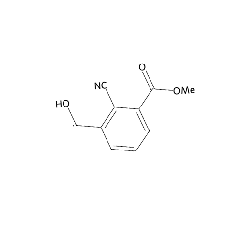 COC(=O)c1cccc([CH]O)c1C#N